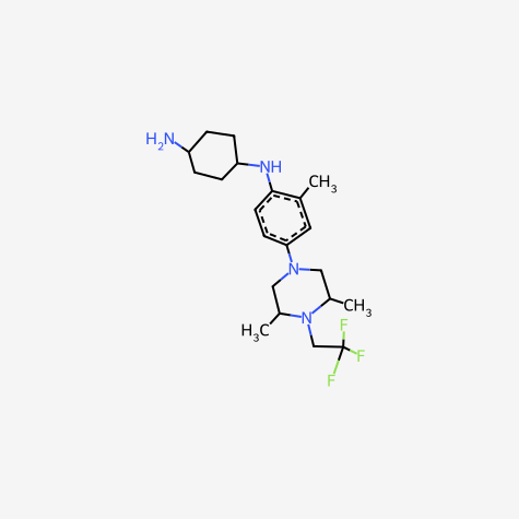 Cc1cc(N2CC(C)N(CC(F)(F)F)C(C)C2)ccc1NC1CCC(N)CC1